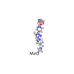 COC1CN(CC2CCN(c3cc(C)n(C4CCN(C(=O)OC(C)(C)C)CC4)n3)C(C)(C)C2)C1